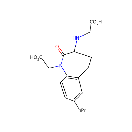 CCCc1ccc2c(c1)CCC(NCC(=O)O)C(=O)N2CC(=O)O